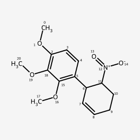 COc1ccc(C2C=CCCC2[N+](=O)[O-])c(OC)c1OC